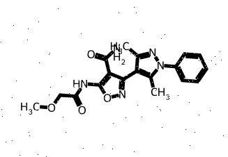 COCC(=O)Nc1onc(-c2c(C)nn(-c3ccccc3)c2C)c1C(N)=O